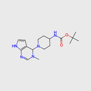 CN1C=Nc2[nH]ccc2C1N1CCC(NC(=O)OC(C)(C)C)CC1